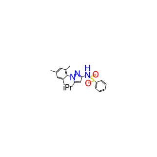 Cc1cc(C)c(-n2nc(NS(=O)(=O)c3ccccc3)cc2C(C)C)c(C)c1